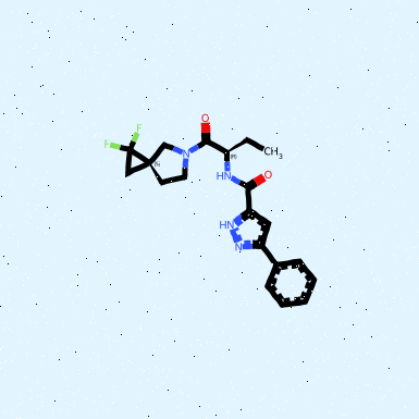 CC[C@@H](NC(=O)c1cc(-c2ccccc2)n[nH]1)C(=O)N1CC[C@@]2(C1)CC2(F)F